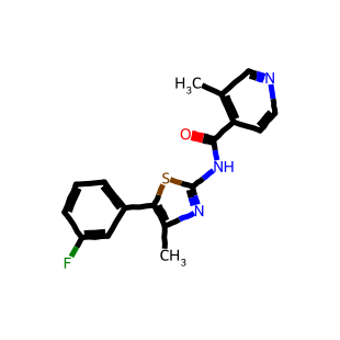 Cc1cnccc1C(=O)Nc1nc(C)c(-c2cccc(F)c2)s1